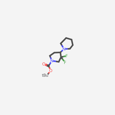 CC(C)(C)OC(=O)N1CCC(N2CCCCC2)C(F)(F)C1